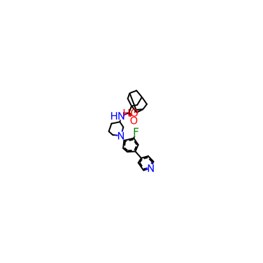 O=C(NC1CCCN(c2ccc(-c3ccncc3)cc2F)C1)C12CC3CC(C1)C(O)C(C3)C2